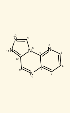 [c]1nc2cccnc2n2cnnc12